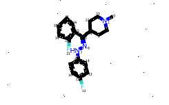 CN1CCC(C(=NNc2ccc(F)cc2)c2ccccc2F)CC1